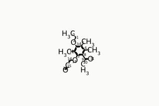 CCOc1c(C)c(C)c(C(C)=O)c(OC=C=O)c1C